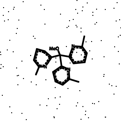 COC(c1cccc(C)n1)(c1cccc(C)n1)c1cccc(C)n1